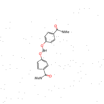 CNC(=O)c1ccc(OBOc2ccc(C(=O)NC)cc2)cc1